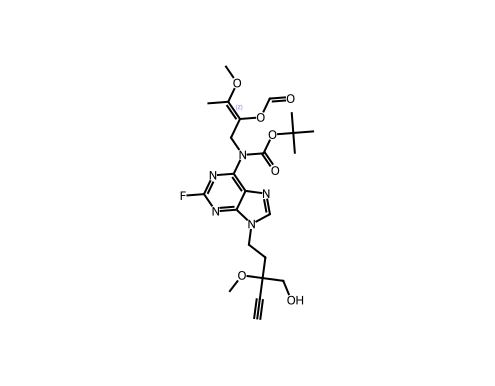 C#CC(CO)(CCn1cnc2c(N(C/C(OC=O)=C(\C)OC)C(=O)OC(C)(C)C)nc(F)nc21)OC